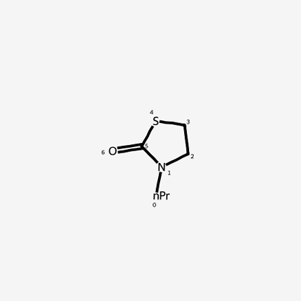 CCCN1CCSC1=O